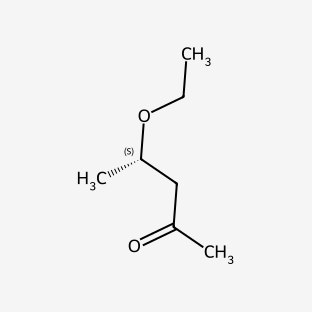 CCO[C@@H](C)CC(C)=O